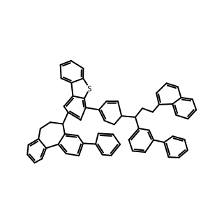 C1=CC(C(CCc2cccc3ccccc23)c2cccc(-c3ccccc3)c2)CC=C1c1cc(C2CCc3ccccc3-c3ccc(-c4ccccc4)cc32)cc2c1sc1ccccc12